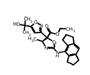 CCOC(=O)C1(c2cc(C(C)(C)O)on2)OC(Nc2c3c(cc4c2CCC4)CCC3)=NC1C